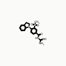 CS(=O)(=O)c1cc(C(=O)NC(=N)N)ccc1N1CCc2ccccc21